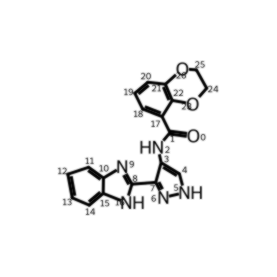 O=C(Nc1c[nH]nc1-c1nc2ccccc2[nH]1)c1cccc2c1OCCO2